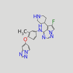 Cc1cc(Nc2ncnn3cc(F)c(C4CCNCC4)c23)ccc1Oc1ccn2ncnc2c1